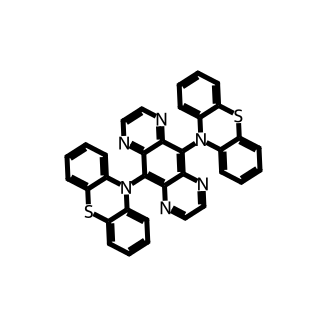 c1ccc2c(c1)Sc1ccccc1N2c1c2nccnc2c(N2c3ccccc3Sc3ccccc32)c2nccnc12